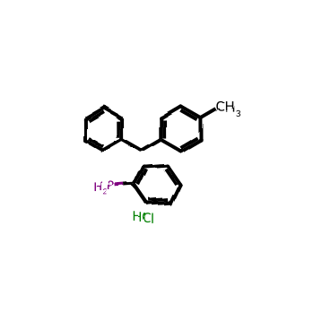 Cc1ccc(Cc2ccccc2)cc1.Cl.Pc1ccccc1